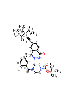 CC(C)[Si](C#Cc1ccc2c(=O)[nH]nc(Cc3ccc(F)c(C(=O)N4CCN(C(=O)OC(C)(C)C)CC4)c3)c2c1)(C(C)C)C(C)C